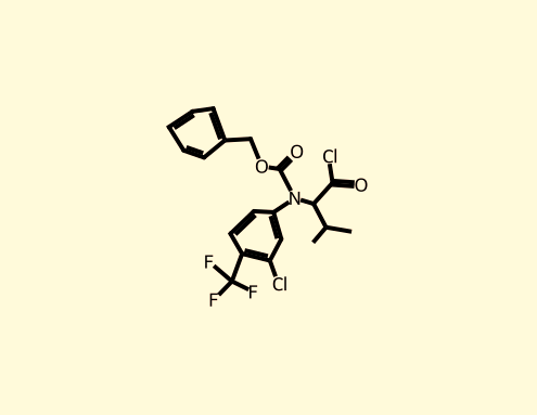 CC(C)C(C(=O)Cl)N(C(=O)OCc1ccccc1)c1ccc(C(F)(F)F)c(Cl)c1